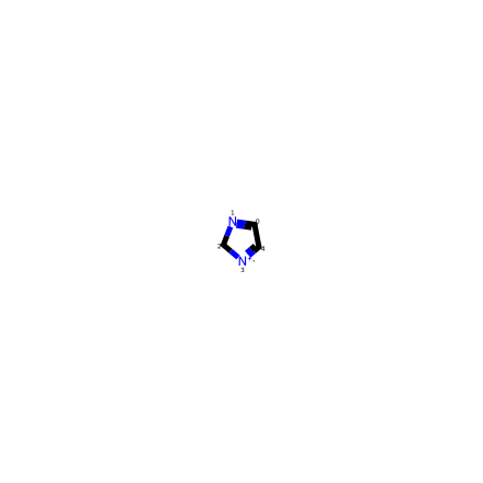 C1=NC[N+]=C1